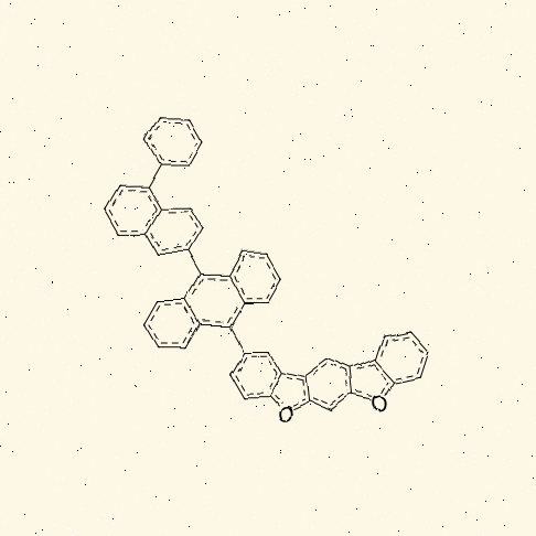 c1ccc(-c2cccc3cc(-c4c5ccccc5c(-c5ccc6oc7cc8oc9ccccc9c8cc7c6c5)c5ccccc45)ccc23)cc1